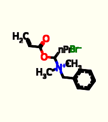 C=CC(=O)OC(CCC)[N+](C)(C)Cc1ccccc1.[Br-]